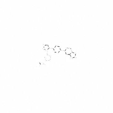 CCC(=O)N[C@H]1CCC(n2nncc2-c2ccc(-c3ccc4cn[nH]c4c3)cc2)C1